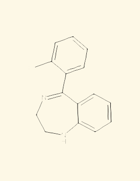 Clc1ccccc1C1=NCCNc2ccccc21